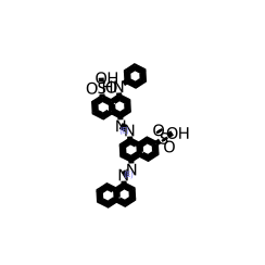 O=S(=O)(O)c1ccc2c(/N=N/c3cccc4ccccc34)ccc(/N=N/c3ccc(Nc4ccccc4)c4c(S(=O)(=O)O)cccc34)c2c1